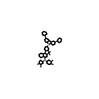 Cc1ccc(N(c2ccc(C)c(C)c2)c2cc3c(c4ccccc24)-c2ccc(-n4c5ccc(-c6ccccc6)cc5c5cc(-c6ccccc6)ccc54)cc2C3(C)C)cc1C